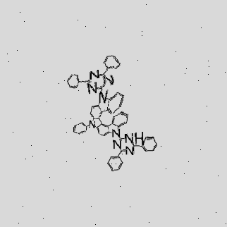 c1ccc(C2=NC(c3ccccc3)NC(n3c4ccccc4c4c5c6c7c8ccccc8n(-c8nc(-c9ccccc9)nc(-c9ccccc9)n8)c7ccc6n(-c6ccccc6)c5ccc43)=N2)cc1